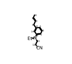 CC=CCc1cccc(N(CC)CCC#N)c1